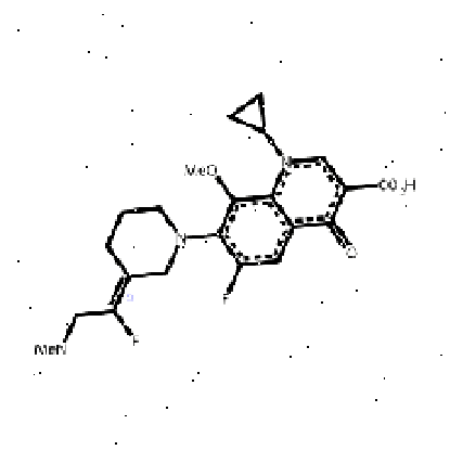 CNC/C(F)=C1\CCCN(c2c(F)cc3c(=O)c(C(=O)O)cn(C4CC4)c3c2OC)C1